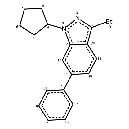 CCc1nn(C2CCCC2)c2cc(-c3ccccc3)ccc12